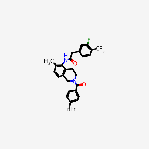 CCCc1ccc(C(=O)N2CCc3c(ccc(C)c3NC(=O)Cc3ccc(C(F)(F)F)c(F)c3)C2)cc1